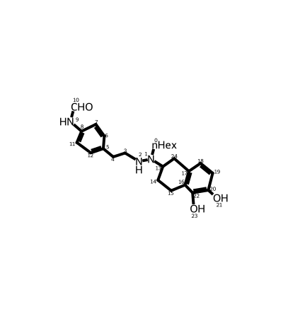 CCCCCCN(NCCc1ccc(NC=O)cc1)C1CCc2c(ccc(O)c2O)C1